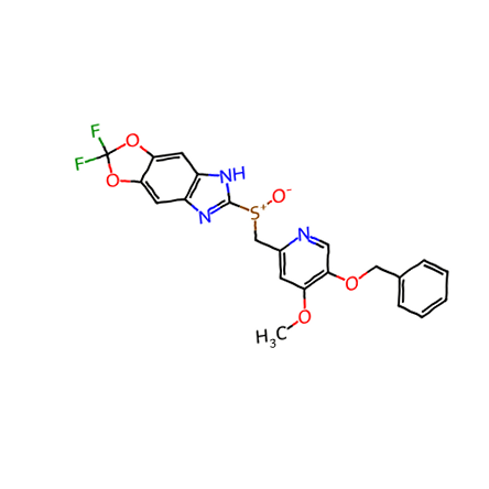 COc1cc(C[S+]([O-])c2nc3cc4c(cc3[nH]2)OC(F)(F)O4)ncc1OCc1ccccc1